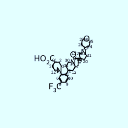 O=C(O)C1CCN(c2cc(C(F)(F)F)ccc2C2CCN(C(=O)[C@@]3(F)CCN(C4CCOCC4)C3)CC2)CC1